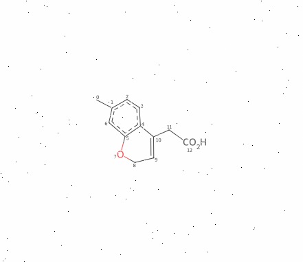 Cc1ccc2c(c1)OCC=C2CC(=O)O